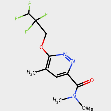 CON(C)C(=O)c1cc(C)c(OCC(F)(F)C(F)F)nn1